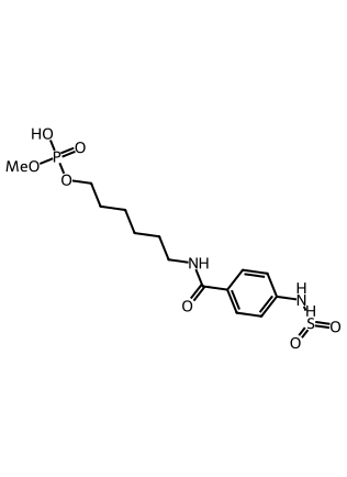 COP(=O)(O)OCCCCCCNC(=O)c1ccc(N[SH](=O)=O)cc1